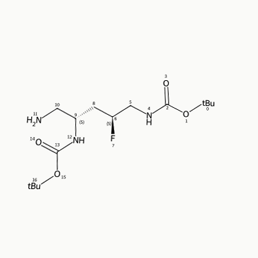 CC(C)(C)OC(=O)NC[C@@H](F)C[C@@H](CN)NC(=O)OC(C)(C)C